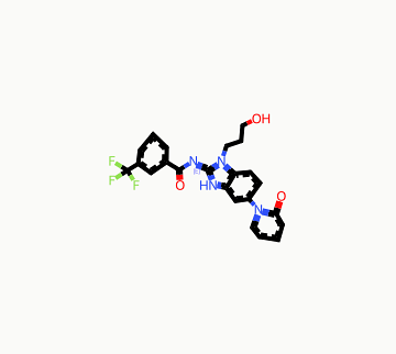 O=C(/N=c1\[nH]c2cc(-n3ccccc3=O)ccc2n1CCCO)c1cccc(C(F)(F)F)c1